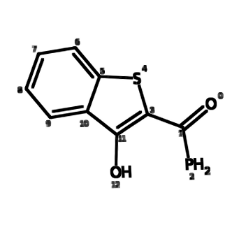 O=C(P)c1sc2ccccc2c1O